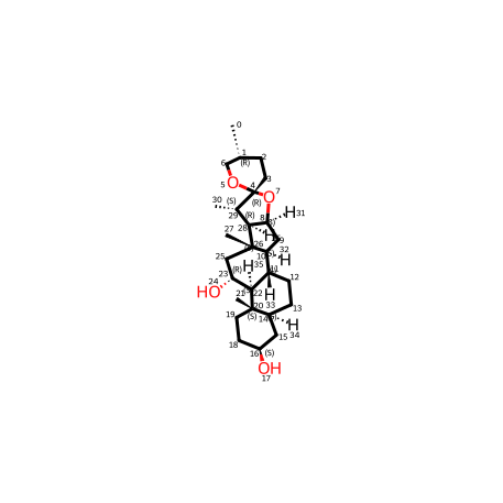 C[C@@H]1CC[C@@]2(OC1)O[C@H]1C[C@H]3[C@@H]4CC[C@H]5C[C@@H](O)CC[C@]5(C)[C@H]4[C@H](O)C[C@]3(C)[C@H]1[C@@H]2C